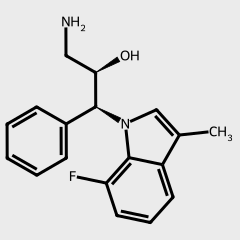 Cc1cn([C@@H](c2ccccc2)[C@H](O)CN)c2c(F)cccc12